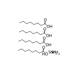 CCCCCCCC(=O)O.CCCCCCCC(=O)O.CCCCCCCC(=O)O.CCCCCCCC(=O)O.[SnH2].[SnH2]